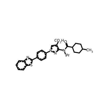 CC1CCC(C(=O)N(c2nn(-c3ccc(-c4nc5ccccc5s4)cc3)cc2C(=O)O)C(C)C)CC1